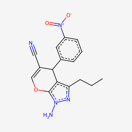 CCCc1nn(N)c2c1C(c1cccc([N+](=O)[O-])c1)C(C#N)=CO2